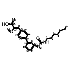 CCCCCCCNC(=O)N(C)c1cccc(-c2ccc(/C=C(\OC)C(=O)O)cn2)c1